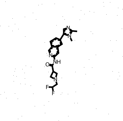 Cc1ncc(-c2ccc3cnc(NC(=O)C4CN(CC(F)F)C4)cc3c2)n1C